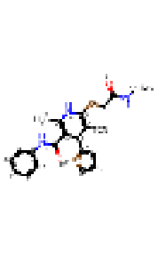 CCCCCCNC(=O)CSC1=C(C#N)C(c2cccs2)C(C(=O)Nc2ccccc2)=C(C)N1